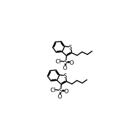 CCCCc1sc2ccccc2c1S(=O)(=O)Cl.CCCCc1sc2ccccc2c1S(=O)(=O)Cl